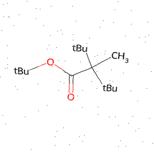 CC(C)(C)OC(=O)C(C)(C(C)(C)C)C(C)(C)C